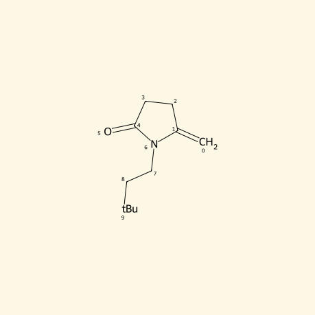 C=C1CCC(=O)N1CCC(C)(C)C